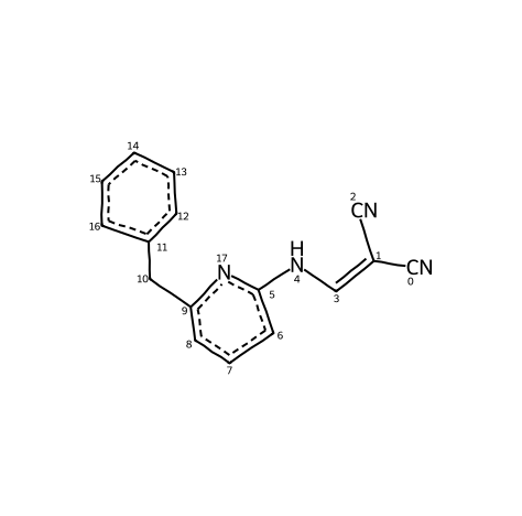 N#CC(C#N)=CNc1cccc(Cc2ccccc2)n1